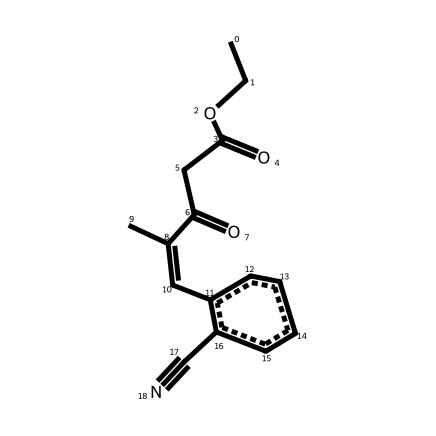 CCOC(=O)CC(=O)C(C)=Cc1ccccc1C#N